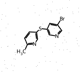 Cc1ccc(Sc2cncc(Br)c2)cn1